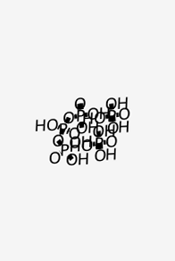 O=P(O)(O)O.O=P(O)(O)O.O=P(O)(O)OP(=O)(O)OP(=O)(O)O